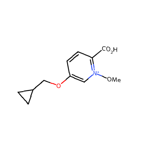 CO[n+]1cc(OCC2CC2)ccc1C(=O)O